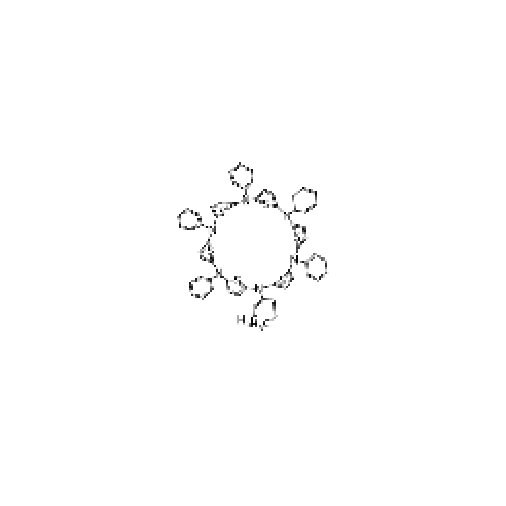 C/C=C\C(=C/C)N1c2ccc(s2)N(c2ccccc2)c2ccc(s2)N(c2ccccc2)c2ccc(s2)N(c2ccccc2)c2ccc(s2)N(C2C=CC=CC2)c2ccc(s2)N(c2ccccc2)c2ccc1s2